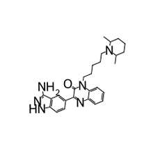 CC1CCCC(C)N1CCCCCn1c(=O)c(-c2ccc3[nH]nc(N)c3c2)nc2ccccc21